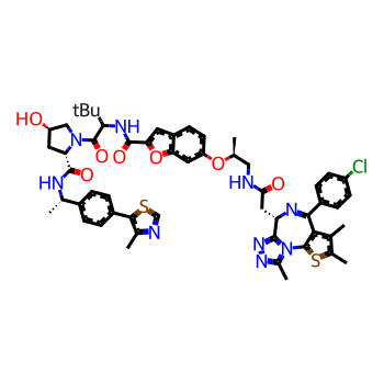 Cc1ncsc1-c1ccc([C@H](C)NC(=O)[C@@H]2C[C@@H](O)CN2C(=O)C(NC(=O)c2cc3ccc(O[C@@H](C)CNC(=O)C[C@@H]4N=C(c5ccc(Cl)cc5)c5c(sc(C)c5C)-n5c(C)nnc54)cc3o2)C(C)(C)C)cc1